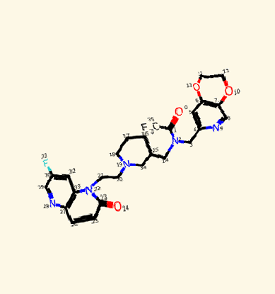 O=C(N(Cc1cc2c(cn1)OCCO2)CC1CCCN(CCn2c(=O)ccc3ncc(F)cc32)C1)C(F)(F)F